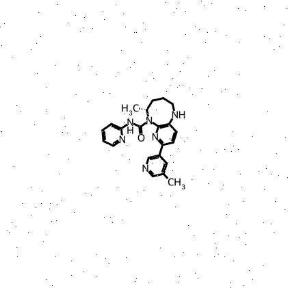 Cc1cncc(-c2ccc3c(n2)N(C(=O)Nc2ccccn2)[C@H](C)CCCN3)c1